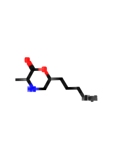 CCCCCCCCCCC1CNC(C)C(=O)O1